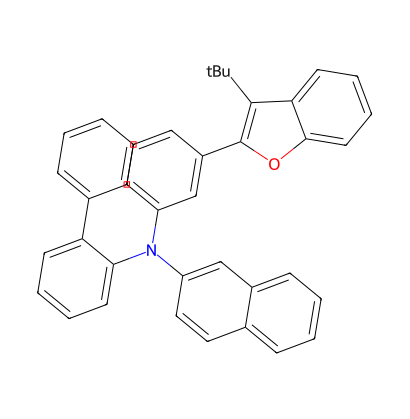 CC(C)(C)c1c(-c2cccc(N(c3ccc4ccccc4c3)c3ccccc3-c3ccccc3)c2)oc2ccccc12